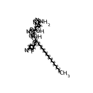 CCCCCCCCCCCCCCCCCCC[C@H](COP(=O)(O)OC[C@@H](OC#N)[C@@H](O)Cc1ccc2c(N)ncnn12)OCc1ccc(C#N)c(F)c1